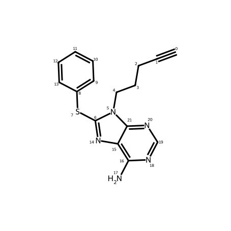 C#CCCCn1c(Sc2ccccc2)nc2c(N)ncnc21